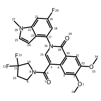 COc1cc2c(C(=O)N3CCC(F)(F)C3)cn(-c3cc(F)cc4c3ccn4C)c(=O)c2cc1OC